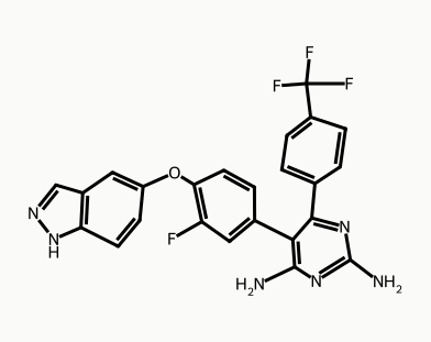 Nc1nc(N)c(-c2ccc(Oc3ccc4[nH]ncc4c3)c(F)c2)c(-c2ccc(C(F)(F)F)cc2)n1